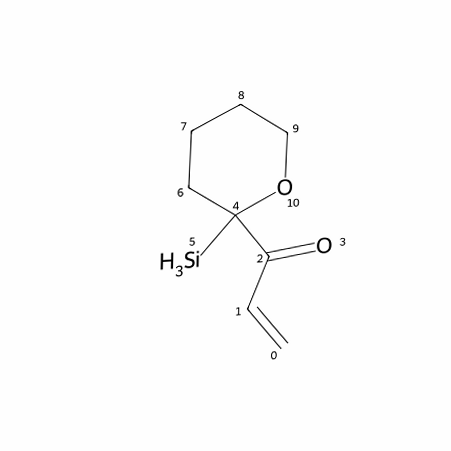 C=CC(=O)C1([SiH3])CCCCO1